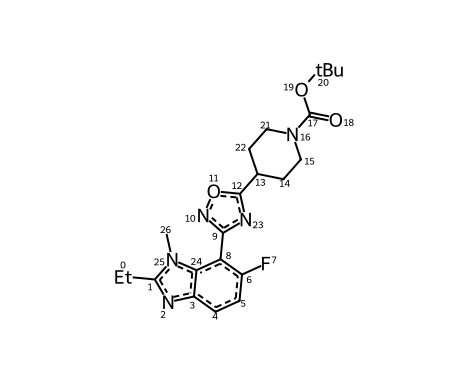 CCc1nc2ccc(F)c(-c3noc(C4CCN(C(=O)OC(C)(C)C)CC4)n3)c2n1C